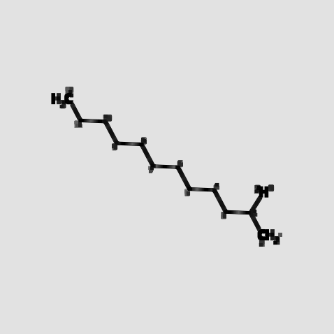 [2H]C([CH2])CCCCCCCCCC